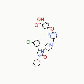 O=C(O)c1ccc(Oc2ncc(CN3CCC(N4C(=O)N(C5CCCCC5)CC4c4cccc(Cl)c4)CC3)cn2)cc1